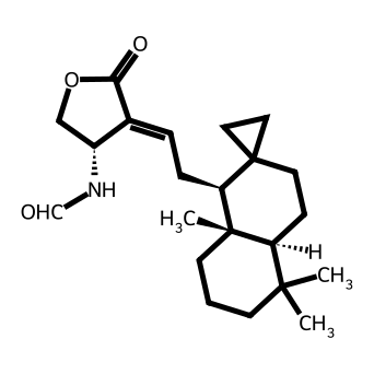 CC1(C)CCC[C@@]2(C)[C@H]1CCC1(CC1)[C@@H]2C/C=C1/C(=O)OC[C@H]1NC=O